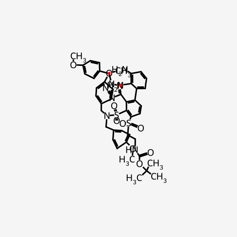 COc1ccc(CN(Cc2ccc(OC)cc2)S(=O)(=O)c2c(S(=O)(=O)CCNC(=O)OC(C)(C)C)ccc(-c3cccc(N)c3N)c2-c2nnn(Cc3ccc(OC)cc3)n2)cc1